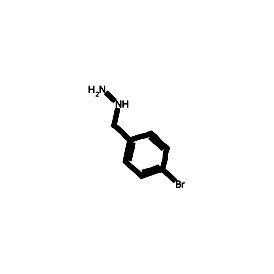 NNCc1ccc(Br)cc1